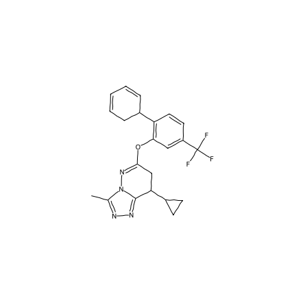 Cc1nnc2n1N=C(Oc1cc(C(F)(F)F)ccc1C1C=CC=CC1)CC2C1CC1